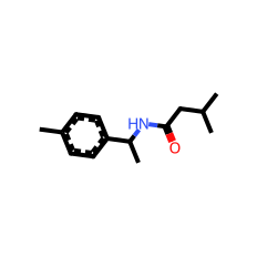 Cc1ccc(C(C)NC(=O)CC(C)C)cc1